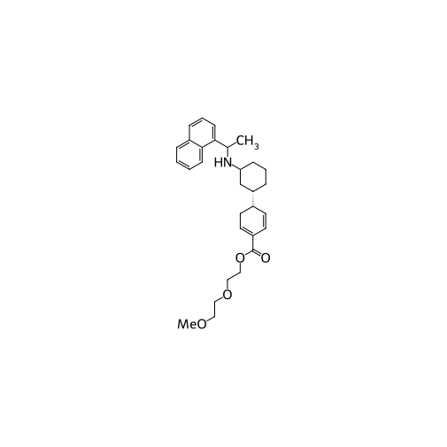 COCCOCCOC(=O)C1=CCC([C@H]2CCCC(NC(C)c3cccc4ccccc34)C2)C=C1